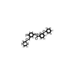 O=C(Nc1ccc(F)c(COc2cnccn2)c1)c1cccc(Oc2ccccc2)c1